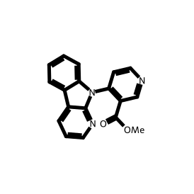 COC(=O)c1cnccc1-n1c2ccccc2c2cccnc21